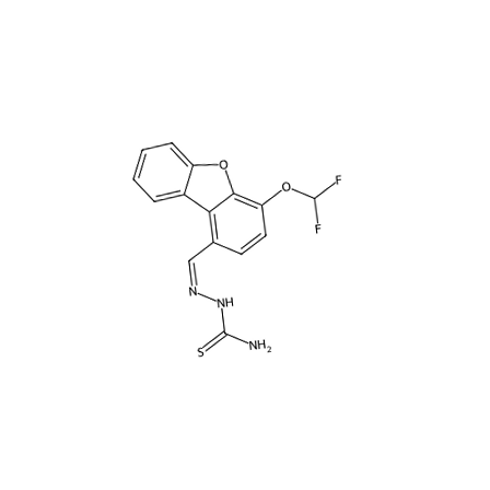 NC(=S)N/N=C\c1ccc(OC(F)F)c2oc3ccccc3c12